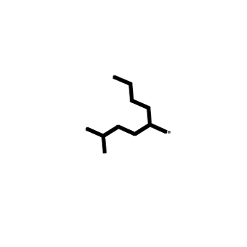 [CH2]C(CCCC)CCC(C)C